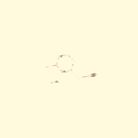 C=Cc1c(Cl)ccnc1NC#N